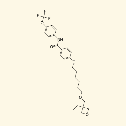 CCC1(COCCCCCCOc2ccc(C(=O)Nc3ccc(OC(F)(F)F)cc3)cc2)COC1